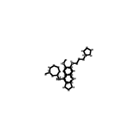 COc1cc2c(N[C@@H]3CCCCN(C)C3)c3c(nc2cc1OCCCN1CCCC1)CCC3